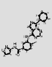 Cc1ccc(C(=O)Nc2ccon2)cc1Nc1ncnn2c(-c3ccccc3)ncc12